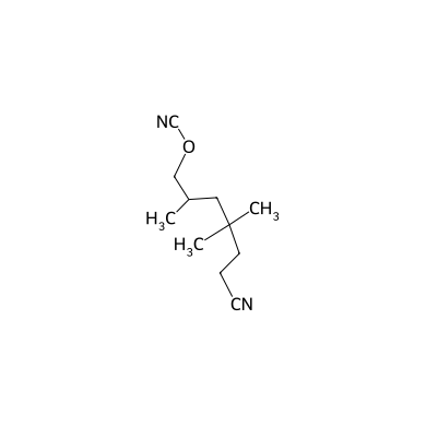 CC(COC#N)CC(C)(C)CCC#N